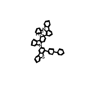 CC1(c2cccc3c4ccccc4n(-c4ccccc4)c23)C=Cc2c(c3ccccc3n2-c2cc(C3=CCC(c4ccccc4)C=C3)c3sc4ccccc4c3c2)C1